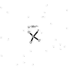 [Li+].[Mn+2].[O-][Si]([O-])([O-])F